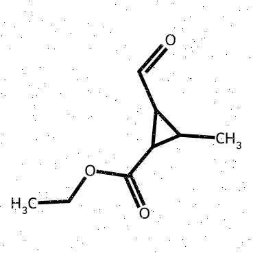 CCOC(=O)C1C(C)C1C=O